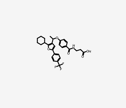 CC(Oc1ccc(C(=O)NCCC(=O)O)cc1)c1cc(-c2ccc(C(F)(F)F)cc2)oc1C1CCCCC1